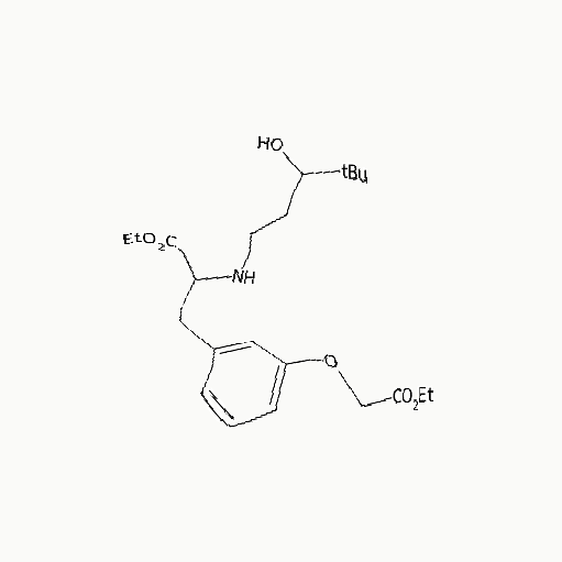 CCOC(=O)COc1cccc(CC(NCCC(O)C(C)(C)C)C(=O)OCC)c1